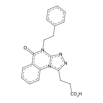 O=C(O)CCc1nnc2n(CCc3ccccc3)c(=O)c3ccccc3n12